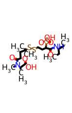 CCC(CC)NC(=O)C(CCSSC(C)(C)CCC(=O)N(C)C(C)C(=O)O)S(=O)(=O)O